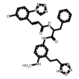 O=C(O)Nc1ccc(NC(=O)C(Cc2ccccc2)NC(=O)C=Cc2cc(Cl)ccc2-n2cnnn2)cc1CCc1nnn[nH]1